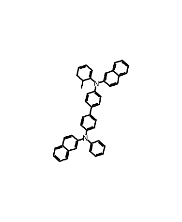 CC1CC=CC=C1N(c1ccc(-c2ccc(N(c3ccccc3)c3ccc4ccccc4c3)cc2)cc1)c1ccc2ccccc2c1